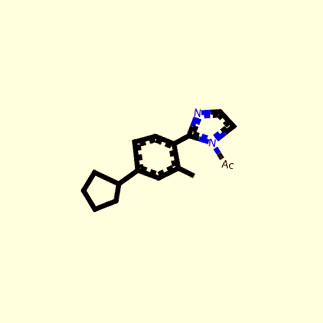 CC(=O)n1ccnc1-c1ccc(C2CCCC2)cc1C